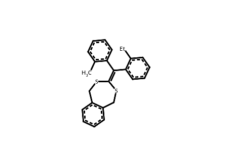 CCc1ccccc1C(=C1SCc2ccccc2CS1)c1ccccc1C